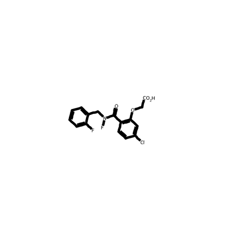 O=C(O)COc1cc(Cl)ccc1C(=O)N(F)Cc1ccccc1F